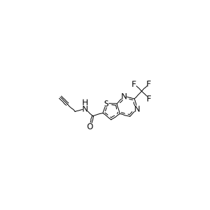 C#CCNC(=O)c1cc2cnc(C(F)(F)F)nc2s1